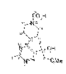 COCC(C)(O)c1cnc(C)nc1C1CCN(C(=O)O)CC1